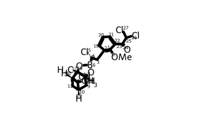 COc1c(C[C@@H](Cl)B2O[C@@H]3C[C@@H]4C[C@@H](C4(C)C)[C@]3(C)O2)cccc1C(=O)C(Cl)Cl